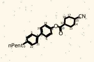 CCCCCc1ccc(-c2ccc(OC(=O)C3CCC(C#N)CC3)cc2)cc1